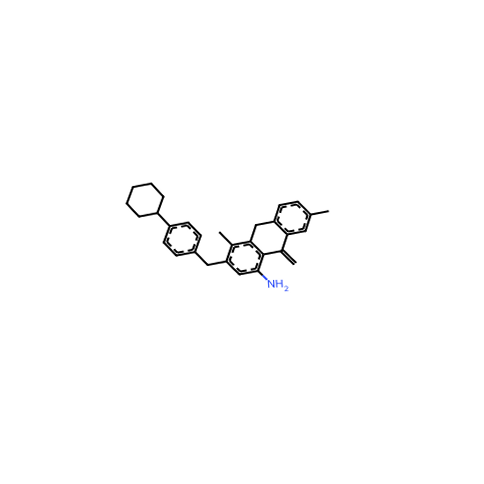 C=C1c2cc(C)ccc2Cc2c(C)c(Cc3ccc(C4CCCCC4)cc3)cc(N)c21